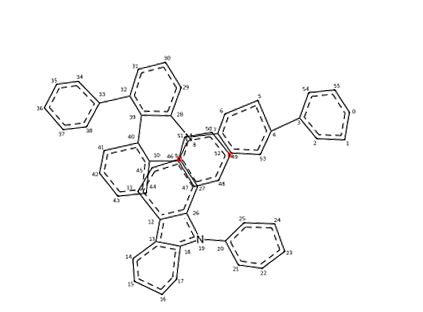 c1ccc(-c2ccc(N(c3ccc4c5ccccc5n(-c5ccccc5)c4c3)c3cccc(-c4ccccc4)c3-c3ccccc3-c3ccccc3)cc2)cc1